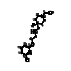 O=CN1CCC(F)(CNCCOc2cccc(Cl)n2)CC1